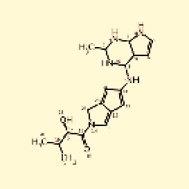 CC1NC2NC=CC2C(NC2=CC3=CN(C(=O)[C@H](O)C(C)C)CC3=C2)N1